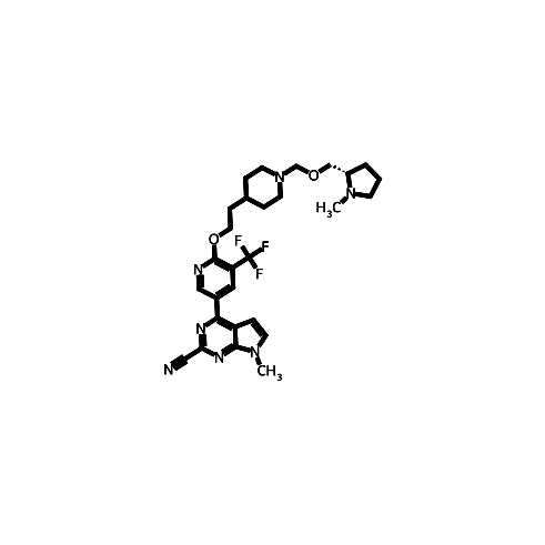 CN1CCC[C@H]1COCN1CCC(CCOc2ncc(-c3nc(C#N)nc4c3ccn4C)cc2C(F)(F)F)CC1